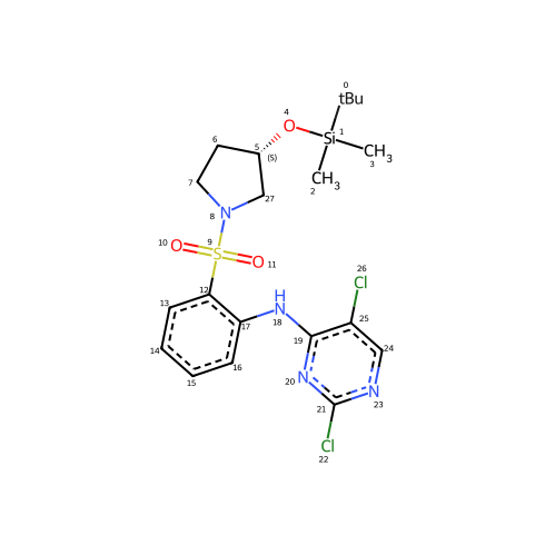 CC(C)(C)[Si](C)(C)O[C@H]1CCN(S(=O)(=O)c2ccccc2Nc2nc(Cl)ncc2Cl)C1